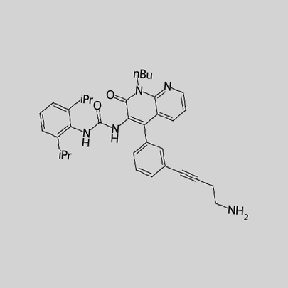 CCCCn1c(=O)c(NC(=O)Nc2c(C(C)C)cccc2C(C)C)c(-c2cccc(C#CCCN)c2)c2cccnc21